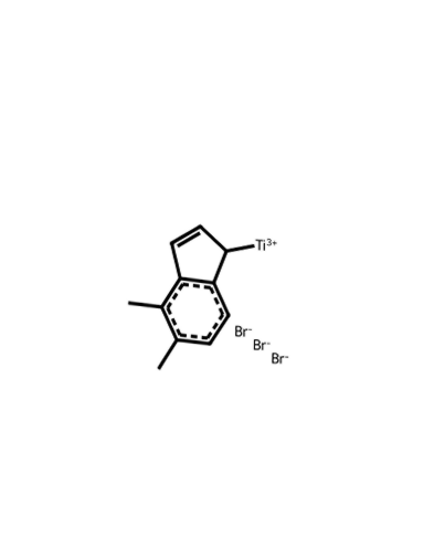 Cc1ccc2c(c1C)C=C[CH]2[Ti+3].[Br-].[Br-].[Br-]